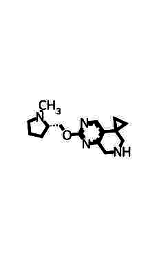 CN1CCC[C@H]1COc1ncc2c(n1)CNCC21CC1